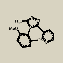 COc1cccc(OC)c1-n1c(C)nnc1-c1cccnc1